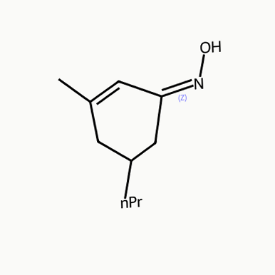 CCCC1CC(C)=C/C(=N\O)C1